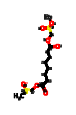 CCOS(=O)COC(=O)CCCCCCC(=O)OC[S+](C)[O-]